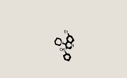 CCc1ccc2ncc([S+]([O-])c3ccccc3)c(N3CCCCC3)c2c1